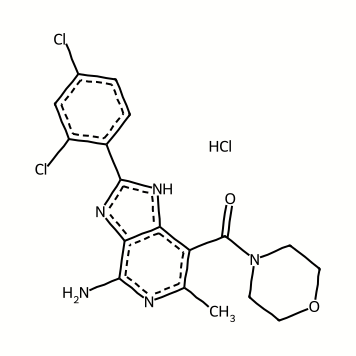 Cc1nc(N)c2nc(-c3ccc(Cl)cc3Cl)[nH]c2c1C(=O)N1CCOCC1.Cl